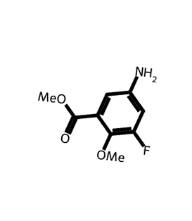 COC(=O)c1cc(N)cc(F)c1OC